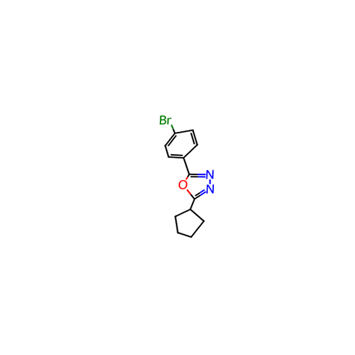 Brc1ccc(-c2nnc(C3CCCC3)o2)cc1